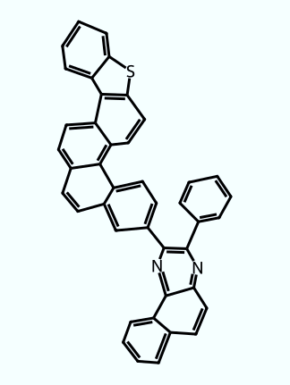 c1ccc(-c2nc3ccc4ccccc4c3nc2-c2ccc3c(ccc4ccc5c(ccc6sc7ccccc7c65)c43)c2)cc1